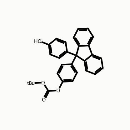 CC(C)(C)OC(=O)Oc1ccc(C2(c3ccc(O)cc3)c3ccccc3-c3ccccc32)cc1